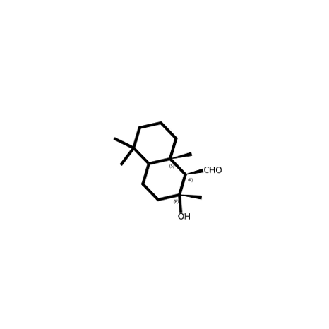 CC1(C)CCC[C@@]2(C)C1CC[C@@](C)(O)[C@@H]2C=O